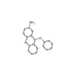 Nc1ccc2nc3ccccc3c(Oc3ccccc3)c2c1